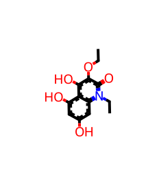 CCOc1c(O)c2c(O)cc(O)cc2n(CC)c1=O